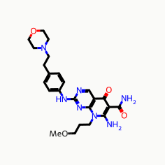 COCCCn1c(N)c(C(N)=O)c(=O)c2cnc(Nc3ccc(CCN4CCOCC4)cc3)nc21